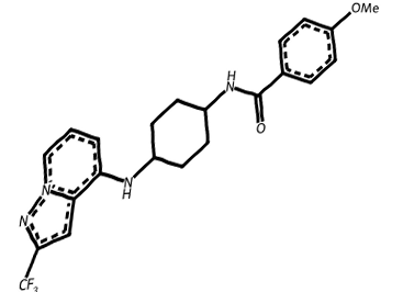 COc1ccc(C(=O)NC2CCC(Nc3cccn4nc(C(F)(F)F)cc34)CC2)cc1